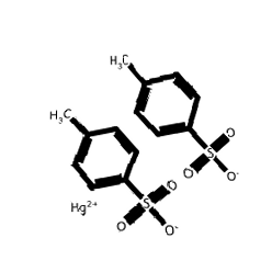 Cc1ccc(S(=O)(=O)[O-])cc1.Cc1ccc(S(=O)(=O)[O-])cc1.[Hg+2]